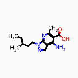 CCC(C)CCn1ncc2c(N)c(C(=O)O)c(C)nc21